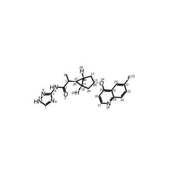 CC(C(=O)Nc1nc[nH]n1)[C@H]1[C@@H]2C[C@H](Oc3ccnc4ccc(F)cc34)C[C@@H]21